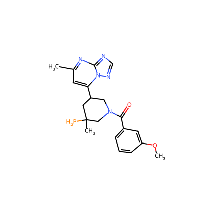 COc1cccc(C(=O)N2CC(c3cc(C)nc4ncnn34)CC(C)(P)C2)c1